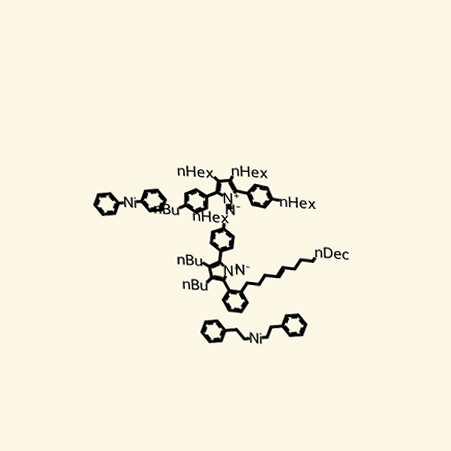 CCCCCCC1=C(c2ccc(CCCC)cc2)[N+](=[N-])C(c2ccc(CCCCCC)cc2)=C1CCCCCC.CCCCCCCCCCCCCC=CCCCc1ccccc1C1=C(CCCC)C(CCCC)=C(c2ccc(CCCCCC)cc2)[N+]1=[N-].c1cc[c]([Ni][c]2ccccc2)cc1.c1ccc(C[CH2][Ni][CH2]Cc2ccccc2)cc1